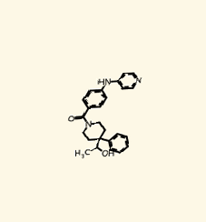 CC(O)C1(c2ccccc2)CCN(C(=O)c2ccc(Nc3ccncc3)cc2)CC1